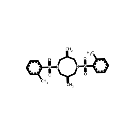 C=C1CN(S(=O)(=O)c2ccccc2C)CC(=C)CN(S(=O)(=O)c2ccccc2C)C1